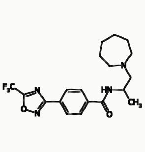 CC(CN1CCCCCC1)NC(=O)c1ccc(-c2noc(C(F)(F)F)n2)cc1